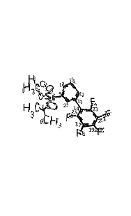 CO[Si](OC)(OC(C)C)c1cccc(-c2c(F)c(F)c(F)c(F)c2F)c1